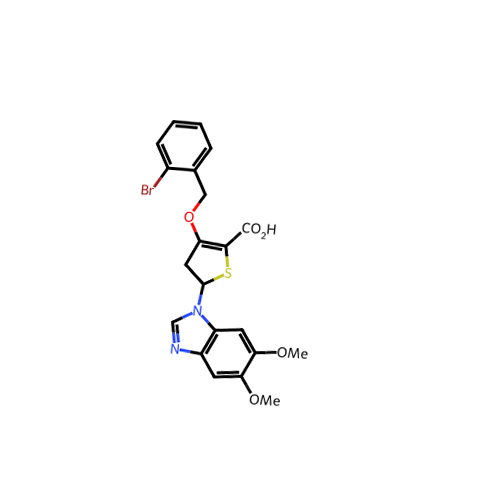 COc1cc2ncn(C3CC(OCc4ccccc4Br)=C(C(=O)O)S3)c2cc1OC